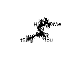 COC(=O)c1cc(C)[nH]c1/C=C1\C(=O)Nc2ccc(-c3cn(C(=O)OC(C)(C)C)nc3OCCCNC(=O)OC(C)(C)C)nc21